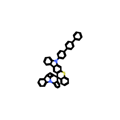 c1ccc(-c2ccc(-c3ccc(-n4c5ccccc5c5cc6c(cc54)Sc4ccccc4C64c5ccccc5-n5c6ccccc6c6cccc4c65)cc3)cc2)cc1